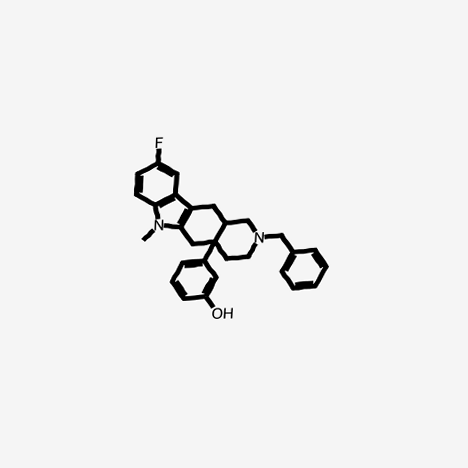 Cn1c2c(c3cc(F)ccc31)CC1CN(Cc3ccccc3)CCC1(c1cccc(O)c1)C2